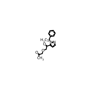 CC(=O)COCC(=O)c1ccnn1[C@H](C)c1ccccc1